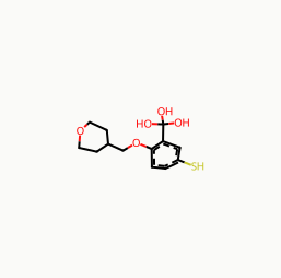 OC(O)(O)c1cc(S)ccc1OCC1CCOCC1